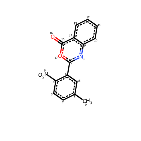 Cc1ccc([N+](=O)[O-])c(-c2nc3ccccc3c(=O)o2)c1